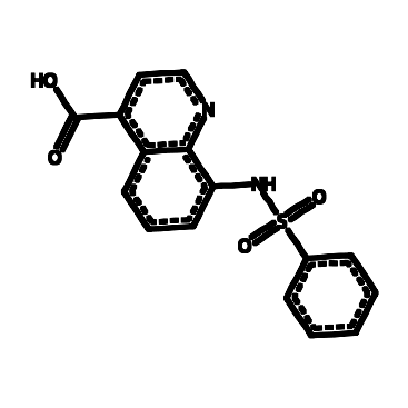 O=C(O)c1ccnc2c(NS(=O)(=O)c3ccccc3)cccc12